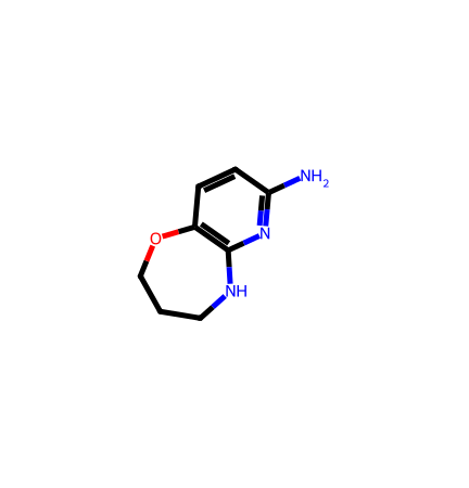 Nc1ccc2c(n1)NCCCO2